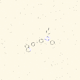 C=C/C=C\C(=C/C)c1nc(-c2ccccc2)nc(-c2ccc(C(C)(C)c3ccc(-c4cccc5cccnc45)cc3)cc2)n1